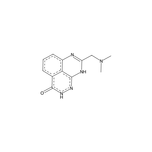 CN(C)CC1=Nc2cccc3c(=O)[nH]nc(c23)N1